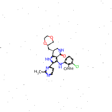 COc1c(Cl)cccc1Nc1c(-c2ccnc(C)n2)[nH]c2c1C(=O)NC[C@@H]2C[C@@H]1COCCO1